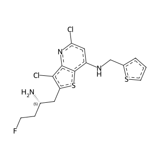 N[C@@H](CCF)Cc1sc2c(NCc3cccs3)cc(Cl)nc2c1Cl